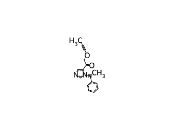 CC#COCC(=O)c1cncn1[C@H](C)c1ccccc1